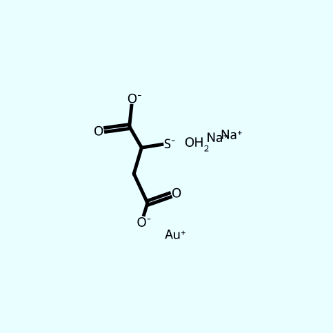 O.O=C([O-])CC([S-])C(=O)[O-].[Au+].[Na+].[Na+]